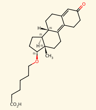 C[C@]12CCC3=C4CCC(=O)C=C4CC[C@H]3[C@@H]1CC[C@@H]2OCCCCCC(=O)O